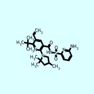 C=Cc1cc(C(=O)NS(=O)(=O)c2cccc(N)n2)c(N2CC(C)CC2(C)C)nc1C(C)(C)C